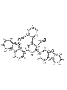 N#Cc1ccccc1-c1cc(-c2cccc3c2sc2ccccc23)cc(-c2ccc3c(c2)oc2ccccc23)c1C#N